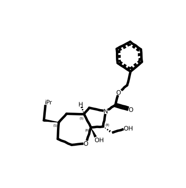 CC(C)C[C@@H]1CCO[C@]2(O)[C@@H](C1)CN(C(=O)OCc1ccccc1)[C@@H]2CO